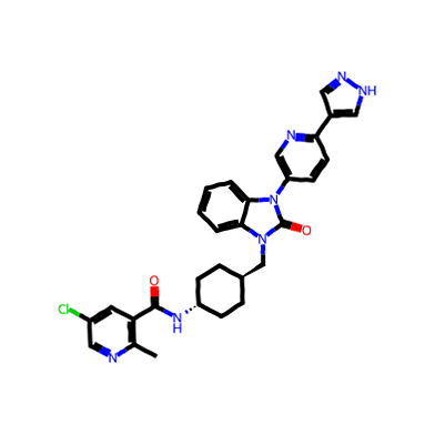 Cc1ncc(Cl)cc1C(=O)N[C@H]1CC[C@H](Cn2c(=O)n(-c3ccc(-c4cn[nH]c4)nc3)c3ccccc32)CC1